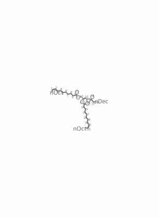 CCCCCCCC/C=C\CCCCCCCC(=O)OC[C@@H](COC(=O)CCCCCCCCCCC)OC(=O)CCCCCCC/C=C\CCCCCCCC